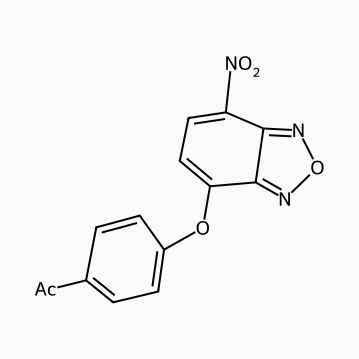 CC(=O)c1ccc(Oc2ccc([N+](=O)[O-])c3nonc23)cc1